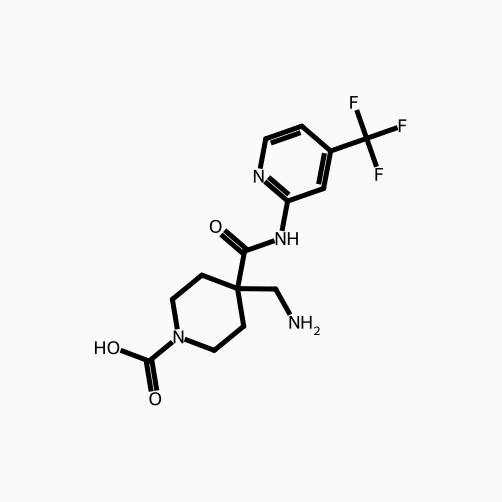 NCC1(C(=O)Nc2cc(C(F)(F)F)ccn2)CCN(C(=O)O)CC1